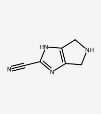 N#Cc1nc2c([nH]1)CNC2